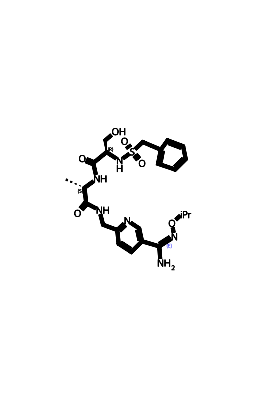 CC(C)O/N=C(/N)c1ccc(CNC(=O)[C@H](C)NC(=O)[C@@H](CO)NS(=O)(=O)Cc2ccccc2)nc1